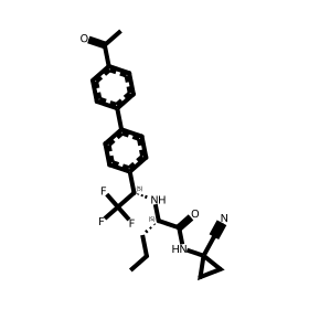 CCC[C@H](N[C@@H](c1ccc(-c2ccc(C(C)=O)cc2)cc1)C(F)(F)F)C(=O)NC1(C#N)CC1